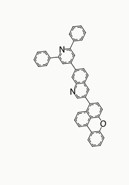 c1ccc(-c2cc(-c3ccc4cc(-c5ccc6c7c(cccc57)-c5ccccc5O6)cnc4c3)cc(-c3ccccc3)n2)cc1